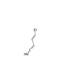 CC/C=C/C=C=N